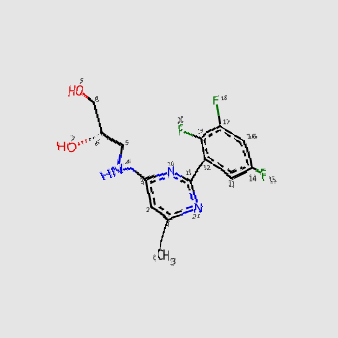 Cc1cc(NC[C@H](O)CO)nc(-c2cc(F)cc(F)c2F)n1